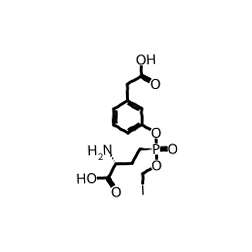 N[C@H](CC[P@@](=O)(OCI)Oc1cccc(CC(=O)O)c1)C(=O)O